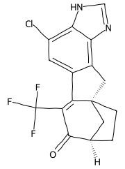 O=C1C(C(F)(F)F)=C2c3cc(Cl)c4[nH]cnc4c3C[C@@]23CC[C@@H]1C3